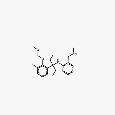 CCC(CC)(Pc1ccccc1CNC)c1cccc(C)c1OCOC